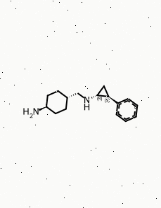 N[C@H]1CC[C@H](CN[C@@H]2C[C@H]2c2ccccc2)CC1